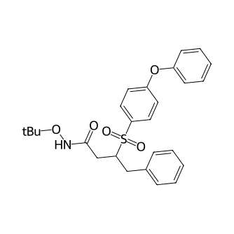 CC(C)(C)ONC(=O)CC(Cc1ccccc1)S(=O)(=O)c1ccc(Oc2ccccc2)cc1